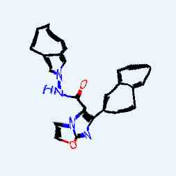 O=C(Nn1cc2ccccc2c1)c1c(-c2ccc3ccccc3c2)nc2occn12